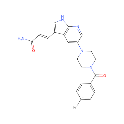 CC(C)c1ccc(C(=O)N2CCN(c3cnc4[nH]cc(C=CC(N)=O)c4c3)CC2)cc1